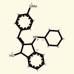 COc1ccc(/C=C2/C(O)c3ccccc3C2NC2CCCCC2)cc1